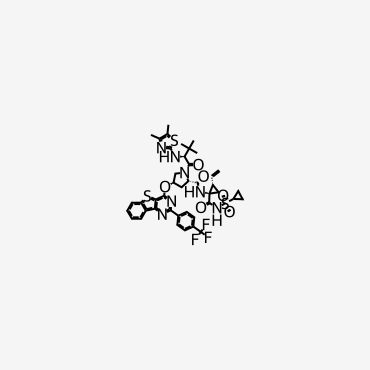 C=C[C@@H]1C[C@]1(NC(=O)[C@@H]1C[C@@H](Oc2nc(-c3ccc(C(F)(F)F)cc3)nc3c2sc2ccccc23)CN1C(=O)[C@@H](Nc1nc(C)c(C)s1)C(C)(C)C)C(=O)NS(=O)(=O)C1CC1